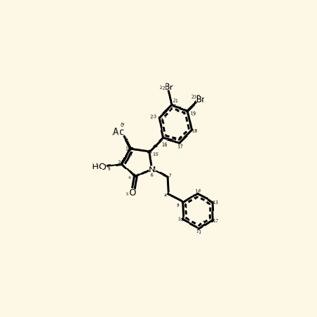 CC(=O)C1=C(O)C(=O)N(CCc2ccccc2)C1c1ccc(Br)c(Br)c1